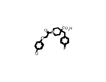 O=C(COc1ccc(Cl)cc1)N1CCC(Cc2ccc(F)cc2)(C(=O)O)CC1